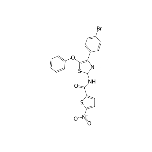 CN1C(c2ccc(Br)cc2)=C(Oc2ccccc2)SC1NC(=O)c1ccc([N+](=O)[O-])s1